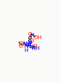 CCOC(=O)c1sc(Nc2nc(N3CCNC(=O)C3)c3c(n2)N(Cc2ccc(C(=O)N(C)CCO)cc2)C(=O)C3)nc1C